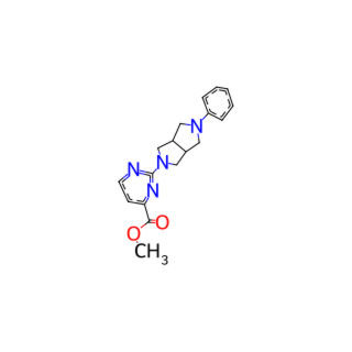 COC(=O)c1ccnc(N2CC3CN(c4ccccc4)CC3C2)n1